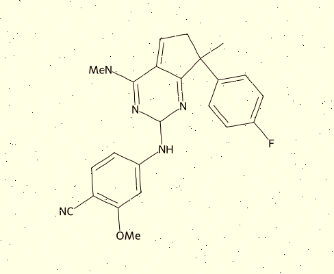 CNC1=NC(Nc2ccc(C#N)c(OC)c2)N=C2C1=CCC2(C)c1ccc(F)cc1